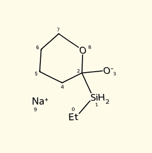 CC[SiH2]C1([O-])CCCCO1.[Na+]